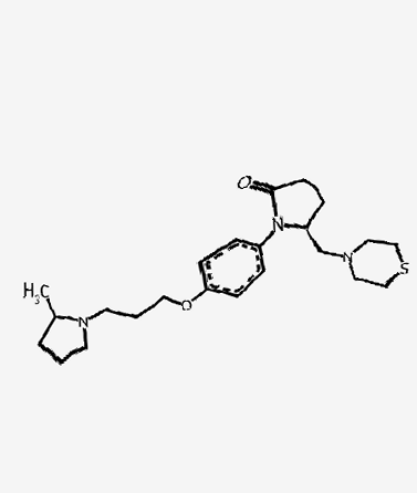 CC1CCCN1CCCOc1ccc(N2C(=O)CC[C@H]2CN2CCSCC2)cc1